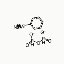 Cc1ccccc1.O=[PH]([O-])O[PH](=O)[O-].[Na+].[Na+]